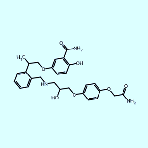 CC(COc1ccc(O)c(C(N)=O)c1)c1ccccc1CNCC(O)COc1ccc(OCC(N)=O)cc1